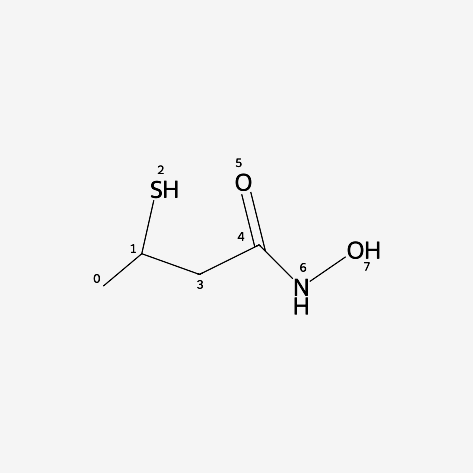 CC(S)CC(=O)NO